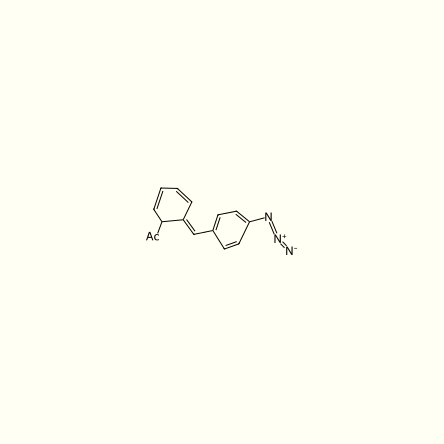 CC(=O)C1C=CC=CC1=Cc1ccc(N=[N+]=[N-])cc1